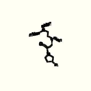 CCCCCCCCCN(CCCCCCCCC)CCN(CCCCCCCCC)CC(=O)N1CCC(CC)C1